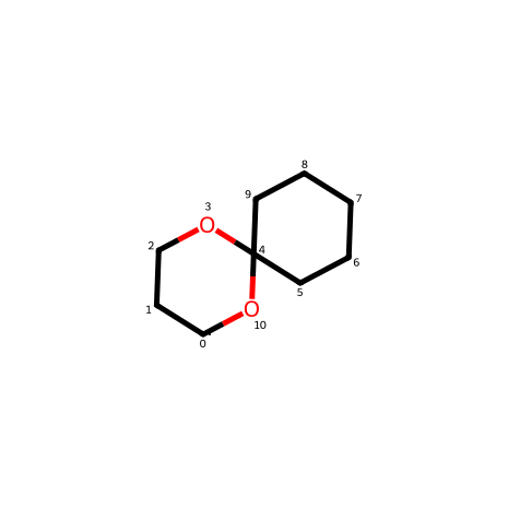 [CH]1CCOC2(CCCCC2)O1